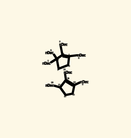 CCCCCCCCCCC1=C(CCCCCCCCCC)C(CCCCCCCCCC)(CCCCCCCCCC)CC1.CCCCCCCCCCC1=C(CCCCCCCCCC)C(CCCCCCCCCC)CC1